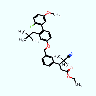 CCOC(=O)CC(c1cccc(COc2ccc(-c3cc(OC)ccc3F)c(CC(C)(C)C)c2)c1)C(C)(C)C#N